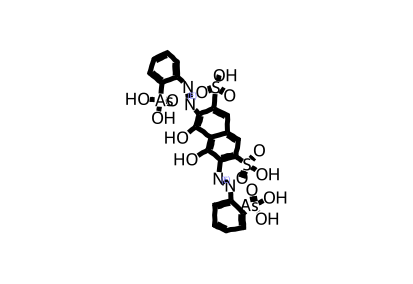 O=S(=O)(O)c1cc2cc(S(=O)(=O)O)c(/N=N/c3ccccc3[As](=O)(O)O)c(O)c2c(O)c1/N=N/c1ccccc1[As](=O)(O)O